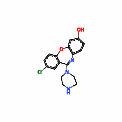 Oc1ccc2c(c1)Oc1ccc(Cl)cc1C(N1CCNCC1)=N2